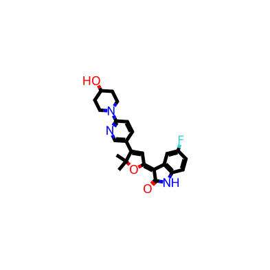 CC1(C)OC(=C2C(=O)Nc3ccc(F)cc32)C=C1c1ccc(N2CCC(O)CC2)nc1